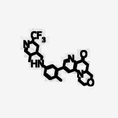 Cc1ccc(NCC2CC(C(F)(F)F)N=CC2C)cc1-c1cnc2c(c1)N1CCOCC1CC2=O